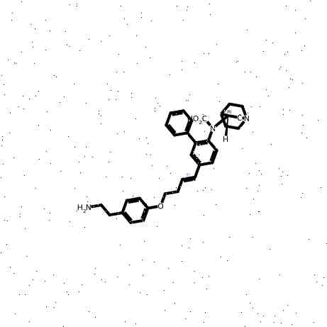 NCCc1ccc(OCC/C=C/c2ccc(N(C(=O)O)[C@H]3CN4CCC3CC4)c(-c3ccccc3)c2)cc1